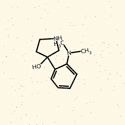 CN(C)c1ccccc1C1(O)CCNC1